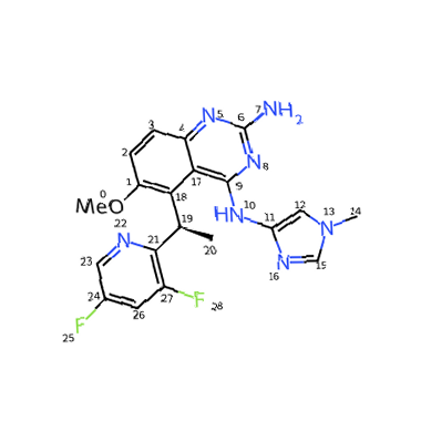 COc1ccc2nc(N)nc(Nc3cn(C)cn3)c2c1[C@@H](C)c1ncc(F)cc1F